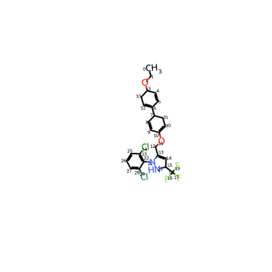 CCOC1C=CC(C2C=CC(OCC3=CC(C(F)(F)F)NN3c3c(Cl)cccc3Cl)=CC2)=CC1